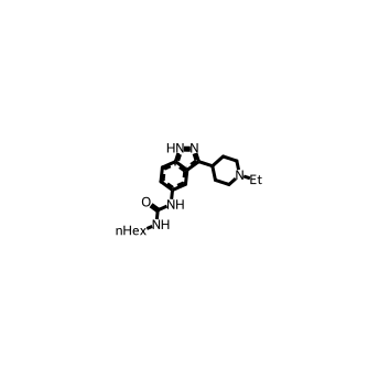 CCCCCCNC(=O)Nc1ccc2[nH]nc(C3CCN(CC)CC3)c2c1